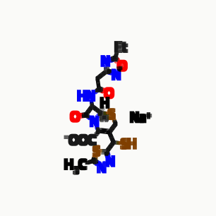 CCc1nc(CC(=O)NC2C(=O)N3C(C(=O)[O-])=C(C(S)c4nnc(C)s4)CS[C@H]23)no1.[Na+]